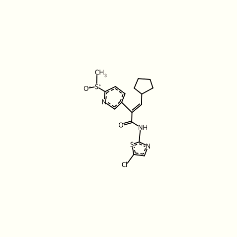 C[S+]([O-])c1ccc(/C(=C\C2CCCC2)C(=O)Nc2ncc(Cl)s2)cn1